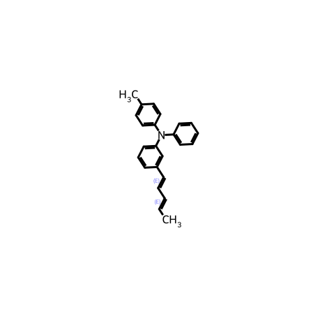 C/C=C/C=C/c1cccc(N(c2ccccc2)c2ccc(C)cc2)c1